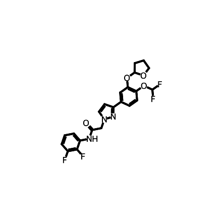 O=C(Cn1ccc(-c2ccc(OC(F)F)c(OC3CCCO3)c2)n1)Nc1cccc(F)c1F